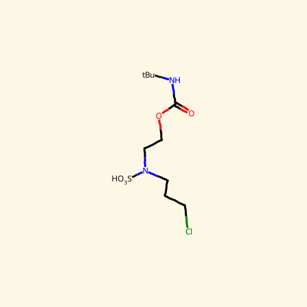 CC(C)(C)NC(=O)OCCN(CCCCl)S(=O)(=O)O